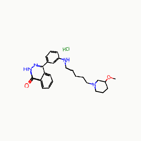 COC1CCCN(CCCCCNc2cccc(-c3n[nH]c(=O)c4ccccc34)c2)C1.Cl